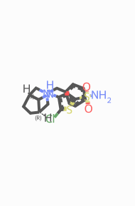 NS(=O)(=O)c1cc(NC2[C@@H]3CC[C@H]2CN(Cc2ccccc2)C3)c(Cl)s1